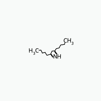 CCCCCC1=CNC=C(CCCCC)C1